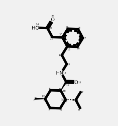 CC(C)[C@@H]1CC[C@@H](C)C[C@H]1C(=O)NCCc1ccccc1CC(=O)O